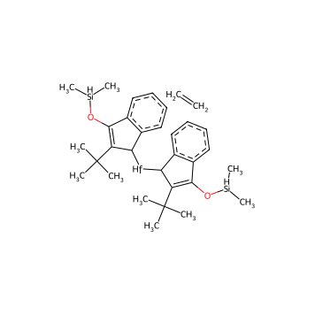 C=C.C[SiH](C)OC1=C(C(C)(C)C)[CH]([Hf][CH]2C(C(C)(C)C)=C(O[SiH](C)C)c3ccccc32)c2ccccc21